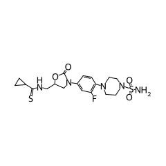 NS(=O)(=O)N1CCN(c2ccc(N3CC(CNC(=S)C4CC4)OC3=O)cc2F)CC1